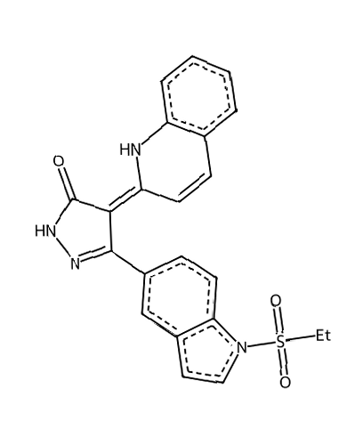 CCS(=O)(=O)n1ccc2cc(C3=NNC(=O)C3=C3C=Cc4ccccc4N3)ccc21